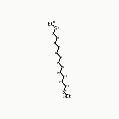 CCSCCCCCCCCCCCCSCC